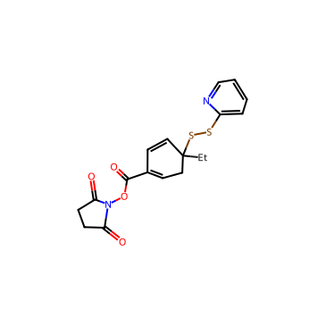 CCC1(SSc2ccccn2)C=CC(C(=O)ON2C(=O)CCC2=O)=CC1